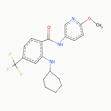 COc1ccc(NC(=O)c2ccc(C(F)(F)F)cc2NC2CCCCC2)cn1